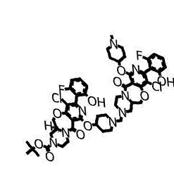 CN1CCC(Oc2nc(-c3c(O)cccc3F)c(Cl)c3c2C(=O)N2CCN(CN4CCC(Oc5nc(-c6c(O)cccc6F)c(Cl)c6c5C(=O)N5CCN(C(=O)OC(C)(C)C)C[C@@H]5CO6)CC4)CC2CO3)CC1